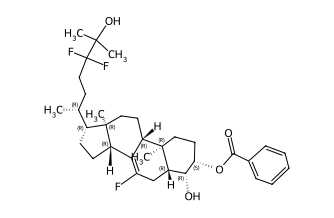 C[C@H](CCC(F)(F)C(C)(C)O)[C@H]1CC[C@H]2C3=C(F)C[C@H]4[C@@H](O)[C@@H](OC(=O)c5ccccc5)CC[C@]4(C)[C@H]3CC[C@]12C